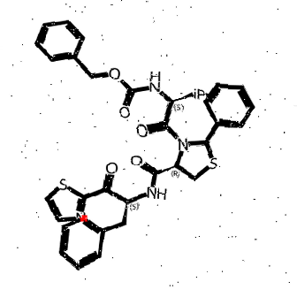 CC(C)[C@H](NC(=O)OCc1ccccc1)C(=O)N1C(c2ccccc2)SC[C@H]1C(=O)N[C@@H](Cc1ccccc1)C(=O)c1nccs1